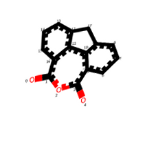 O=c1oc(=O)c2cccc3c2c2c(cccc12)C3